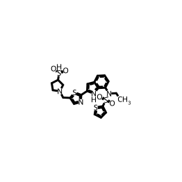 CCN(c1cccc2cc(-c3ncc(CN4CCC([SH](=O)=O)C4)s3)[nH]c12)S(=O)(=O)c1cccs1